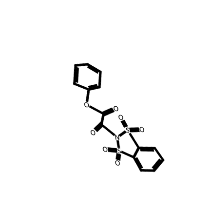 O=C(Oc1ccccc1)C(=O)N1S(=O)(=O)c2ccccc2S1(=O)=O